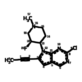 CC#Cc1cc2cnc(Cl)nc2n1[C@@H]1CCN(C)C[C@@H]1F